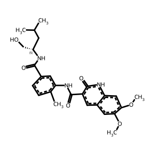 COc1cc2cc(C(=O)Nc3cc(C(=O)N[C@H](CO)CC(C)C)ccc3C)c(=O)[nH]c2cc1OC